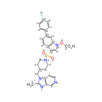 Cc1nc2cnccc2n1CC1CCN(S(=O)(=O)c2cn(OC(=O)O)c3cc(-c4ccc(F)cc4)ccc23)CC1